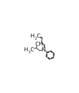 C=CCCN(CC(C)C)c1ccccc1